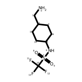 NCC1CCC(NS(=O)(=O)C(F)(F)F)CC1